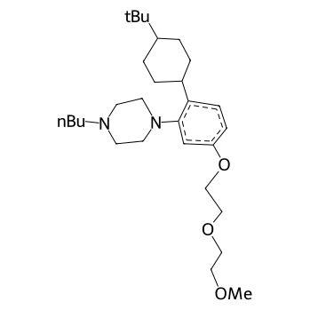 CCCCN1CCN(c2cc(OCCOCCOC)ccc2C2CCC(C(C)(C)C)CC2)CC1